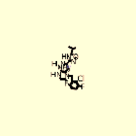 CC(C)C1NC(/C(N)=C/C2=C(N)NCCN2Cc2c(F)ccc(F)c2Cl)=NO1